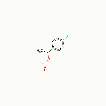 CC(O[C]=O)c1ccc(F)cc1